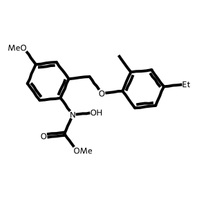 CCc1ccc(OCc2cc(OC)ccc2N(O)C(=O)OC)c(C)c1